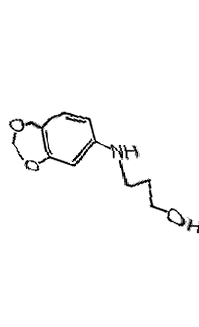 OCCCNc1ccc2c(c1)OCO2